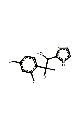 CC(O)(c1ccc(Cl)cc1Cl)C(O)c1ncc[nH]1